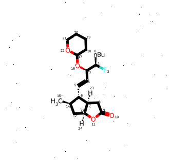 CCCC[C@@H](F)[C@@H](C=C[C@@H]1[C@H]2CC(=O)O[C@H]2C[C@H]1C)OC1CCCCO1